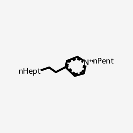 CCCCCCCCCc1cc[n+](CCCCC)cc1